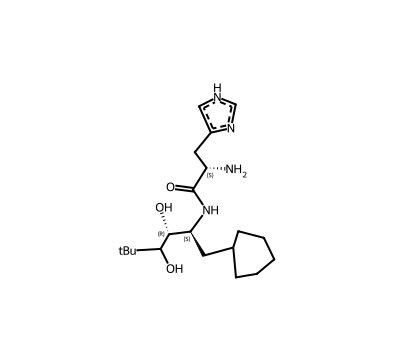 CC(C)(C)C(O)[C@H](O)[C@H](CC1CCCCC1)NC(=O)[C@@H](N)Cc1c[nH]cn1